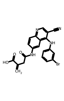 C=C(CC(=O)Nc1ccc2ncc(C#N)c(Nc3cccc(Br)c3)c2c1)C(=O)O